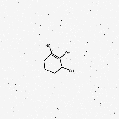 CC1CCCC(O)=C1O